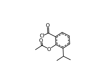 CC(=O)Oc1c(C(=O)Cl)cccc1C(C)C